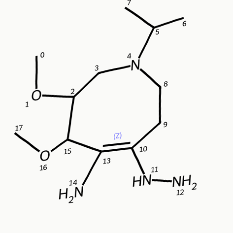 COC1CN(C(C)C)CC/C(NN)=C(/N)C1OC